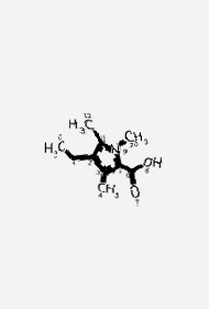 CCc1c(C)c(C(=O)O)n(C)c1C